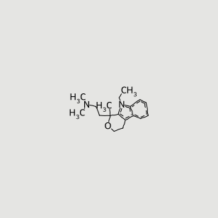 CCn1c2c(c3ccccc31)CCOC2(C)CCN(C)C